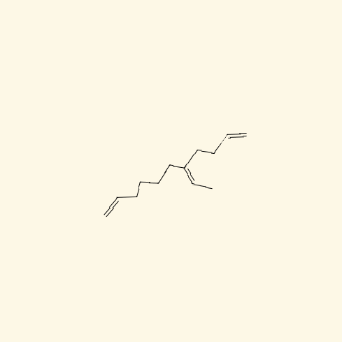 C=CCCCCC(=CC)CCC=C